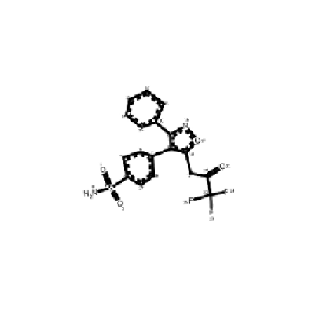 NS(=O)(=O)c1ccc(-c2c(-c3ccccc3)noc2CC(=O)C(F)(F)F)cc1